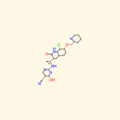 C[C@H](Nc1ncc(C#N)c(O)n1)c1cc2ccc(OCc3ccccn3)c(Cl)c2[nH]c1=O